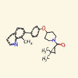 Cc1c(-c2ccc(OC3CCN(C(=O)C4CC4(C)C)CC3)cc2)ccc2cccnc12